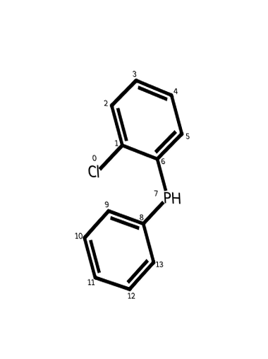 Clc1ccccc1Pc1ccccc1